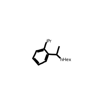 CCCCCCC(C)c1ccccc1C(C)C